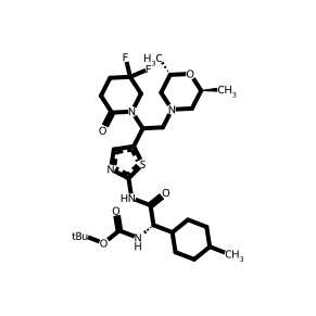 CC1CCC([C@H](NC(=O)OC(C)(C)C)C(=O)Nc2ncc(C(CN3C[C@H](C)O[C@@H](C)C3)N3CC(F)(F)CCC3=O)s2)CC1